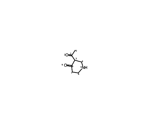 CC(=O)C1CNCCC1=O